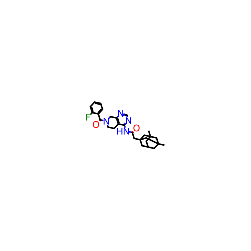 CC12CC3CC(C)(C1)CC(CC(=O)Nc1ncnc4c1CCN(C(=O)c1ccccc1F)C4)(C3)C2